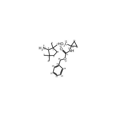 CC1(C)CCC(C)(C)C1N.O=C(NC1(C(=O)O)CC1)OCc1ccccc1